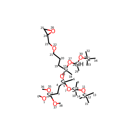 CO[Si](CC[Si](C)(O[Si](C)(C)O[Si](C)(C)C)O[Si](C)(CCCOCC1CO1)O[SiH](C)O[Si](C)(C)C)(OC)OC